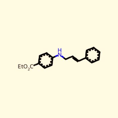 CCOC(=O)c1ccc(NCC=Cc2ccccc2)cc1